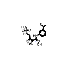 NS(=O)(=O)NCc1nonc1/C(=N\O)Nc1cccc(C(F)F)c1